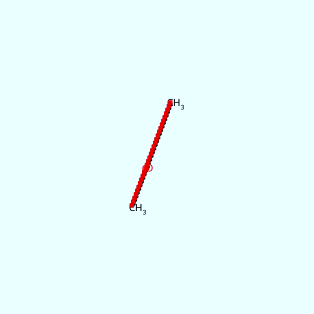 CCCCCCCCCCCCCCCCCCCCCCCCCCCCCCCCCCCC(=O)OCCCCCCCCCCCCCCCCCCCCC